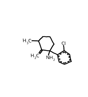 C=C1C(C)CCCC1(N)c1ccccc1Cl